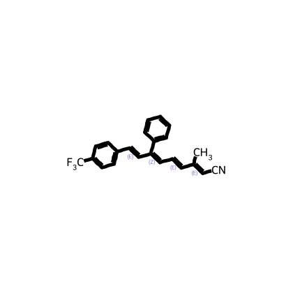 CC(/C=C/C=C(/C=C/c1ccc(C(F)(F)F)cc1)c1ccccc1)=C\C#N